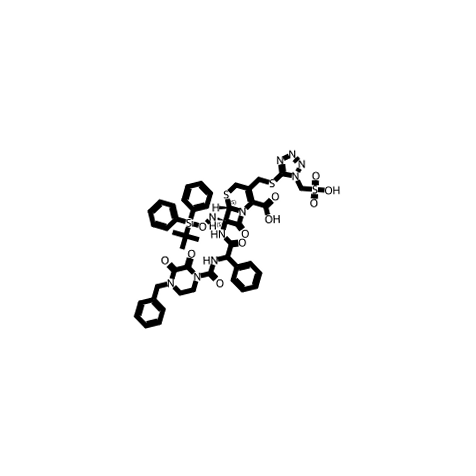 CC(C)(C)[Si](ON[C@@]1(NC(=O)C(NC(=O)N2CCN(Cc3ccccc3)C(=O)C2=O)c2ccccc2)C(=O)N2C(C(=O)O)=C(CSc3nnnn3CS(=O)(=O)O)CS[C@H]21)(c1ccccc1)c1ccccc1